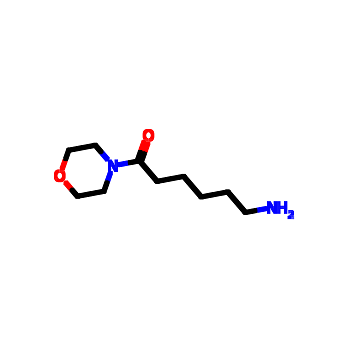 NCCCCCC(=O)N1CCOCC1